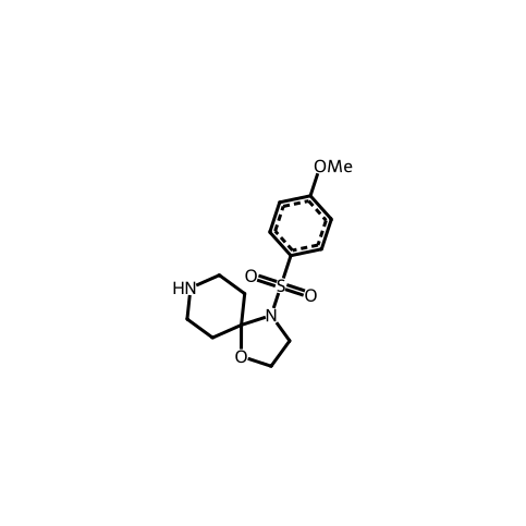 COc1ccc(S(=O)(=O)N2CCOC23CCNCC3)cc1